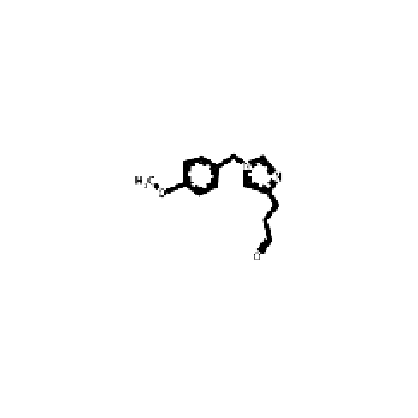 COc1ccc(Cn2cnc(CCC=O)c2)cc1